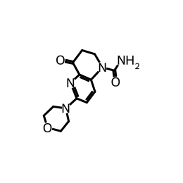 NC(=O)N1CCC(=O)c2nc(N3CCOCC3)ccc21